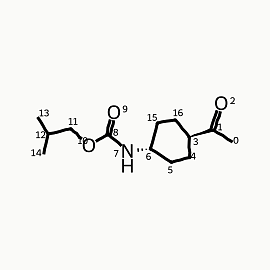 CC(=O)[C@H]1CC[C@H](NC(=O)OCC(C)C)CC1